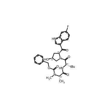 C[C@@H](C(=O)N[C@H](C(=O)N1C[C@@H](O)C[C@H]1C(=O)c1c[nH]c2cc(F)ccc12)C(C)(C)C)N(C)C(=O)OCc1ccccc1